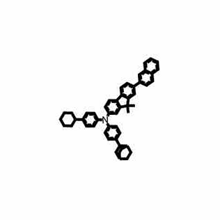 CC1(C)c2cc(-c3ccc4ccccc4c3)ccc2-c2ccc(N(c3ccc(C4CCCCC4)cc3)c3ccc(C4CC5CCC4CC5)cc3)cc21